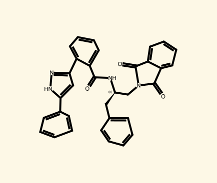 O=C(N[C@H](Cc1ccccc1)CN1C(=O)c2ccccc2C1=O)c1ccccc1-c1cc(-c2ccccc2)[nH]n1